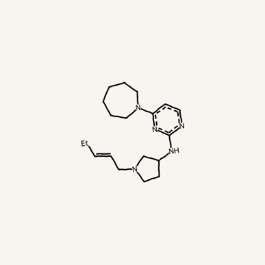 CCC=CCN1CCC(Nc2nccc(N3CCCCCC3)n2)C1